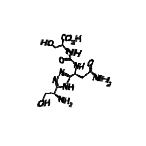 NC(=O)C[C@H](NC(=O)N[C@@H](CO)C(=O)O)c1nnc([C@@H](N)CO)[nH]1